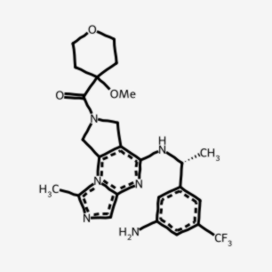 COC1(C(=O)N2Cc3c(N[C@H](C)c4cc(N)cc(C(F)(F)F)c4)nc4cnc(C)n4c3C2)CCOCC1